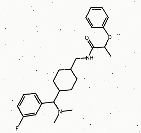 CC(Oc1ccccc1)C(=O)NCC1CCC(C(c2cccc(F)c2)N(C)C)CC1